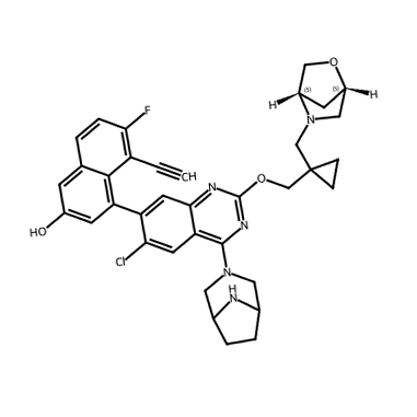 C#Cc1c(F)ccc2cc(O)cc(-c3cc4nc(OCC5(CN6C[C@@H]7C[C@H]6CO7)CC5)nc(N5CC6CCC(C5)N6)c4cc3Cl)c12